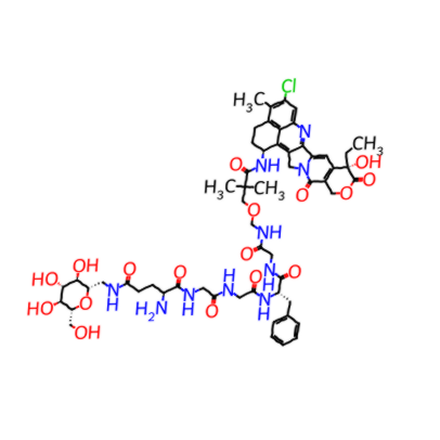 CC[C@@]1(O)C(=O)OCc2c1cc1n(c2=O)Cc2c-1nc1cc(Cl)c(C)c3c1c2[C@@H](NC(=O)C(C)(C)COCNC(=O)CNC(=O)[C@H](Cc1ccccc1)NC(=O)CNC(=O)CNC(=O)[C@@H](N)CCC(=O)NC[C@@H]1O[C@H](CO)[C@@H](O)[C@H](O)[C@H]1O)CC3